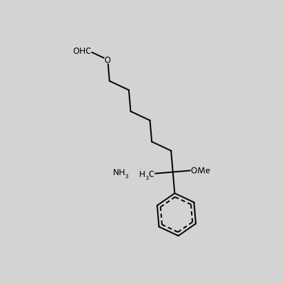 COC(C)(CCCCCCOC=O)c1ccccc1.N